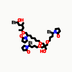 CCC(O)CC(C)CC(C)OCC(CCCCCOCC(CO)(COCCCC(CC)N1CCCC1=O)COCCCC(CC)N1CCCC1=O)N1CCCC1=O